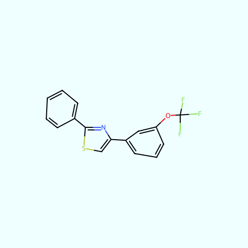 FC(F)(F)Oc1cccc(-c2csc(-c3ccccc3)n2)c1